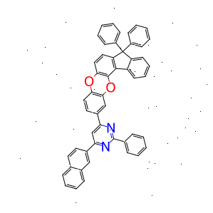 c1ccc(-c2nc(-c3ccc4c(c3)Oc3c(ccc5c3-c3ccccc3C5(c3ccccc3)c3ccccc3)O4)cc(-c3ccc4ccccc4c3)n2)cc1